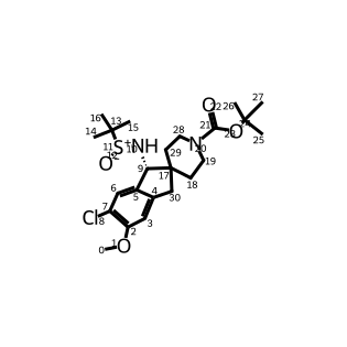 COc1cc2c(cc1Cl)[C@H](N[S@+]([O-])C(C)(C)C)C1(CCN(C(=O)OC(C)(C)C)CC1)C2